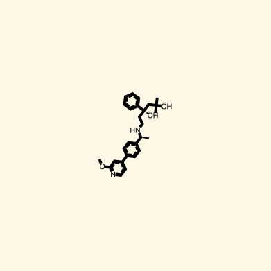 COc1cc(-c2ccc([C@H](C)NCC[C@](O)(CC(C)(C)O)c3ccccc3)cc2)ccn1